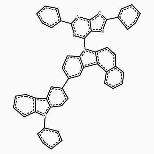 c1ccc(-c2nc(-n3c4ccc(-c5ccc6c(c5)c5ccccc5n6-c5ccccc5)cc4c4c5ccccc5ccc43)c3nc(-c4ccccc4)oc3n2)cc1